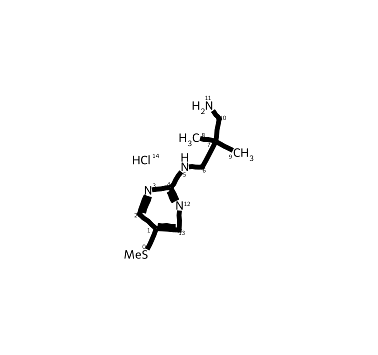 CSc1cnc(NCC(C)(C)CN)nc1.Cl